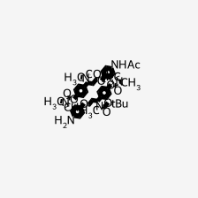 CC(=O)Nc1ccc(OCCC(c2ccc(OC(=O)N(C)C)cc2)N(C)C(=O)O)cc1.CN(C)C(=O)Oc1ccc(C(CCOc2ccc(N)cc2)N(C)C(=O)OC(C)(C)C)cc1